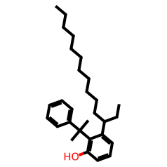 CCCCCCCCCCCC(CC)c1cccc(O)c1C(C)(C)c1ccccc1